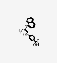 CC(CNc1ccc(C(=O)O)cc1)Oc1cccc2ccccc12